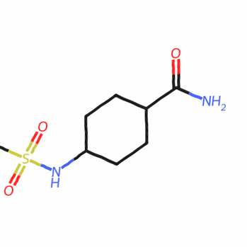 CS(=O)(=O)NC1CCC(C(N)=O)CC1